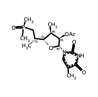 CC(=O)O[C@@H]1[C@H](C)[C@@H]([C@H](C)CP(C)(C)=O)O[C@H]1n1cc(C)c(=O)[nH]c1=O